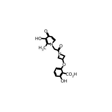 Cc1c(O)c(=O)ccn1CC(=O)N1CC(Oc2cccc(O)c2C(=O)O)C1